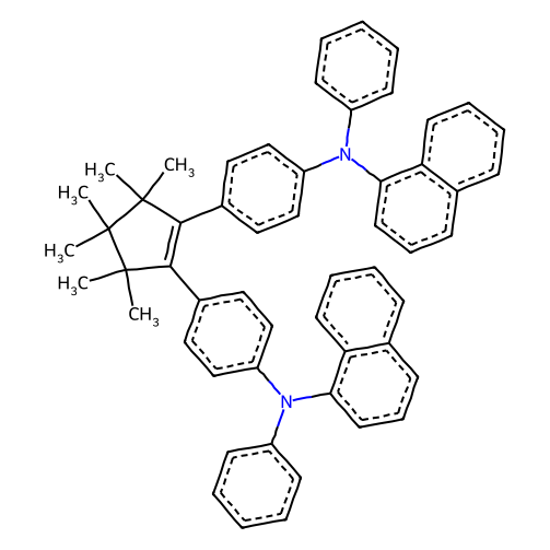 CC1(C)C(c2ccc(N(c3ccccc3)c3cccc4ccccc34)cc2)=C(c2ccc(N(c3ccccc3)c3cccc4ccccc34)cc2)C(C)(C)C1(C)C